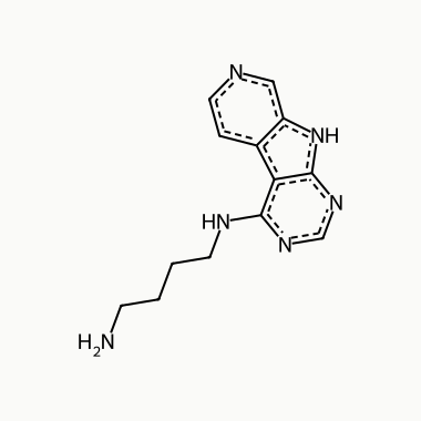 NCCCCNc1ncnc2[nH]c3cnccc3c12